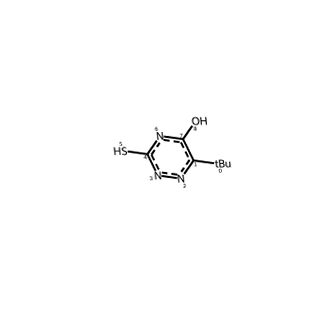 [CH2]C(C)(C)c1nnc(S)nc1O